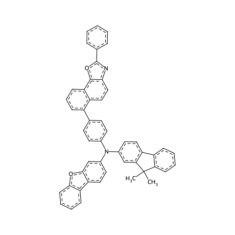 CC1(C)c2ccccc2-c2ccc(N(c3ccc(-c4cccc5c4ccc4nc(-c6ccccc6)oc45)cc3)c3ccc4c(c3)oc3ccccc34)cc21